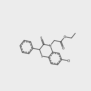 CCOC(=O)CN1C(=S)C(c2ccccc2)Sc2ccc(Cl)cc21